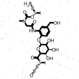 B/B=S(\I)OC(=O)N(C)CC(=O)Nc1cc(CO)ccc1O[C@@H]1OC(C(=O)/S(I)=B/B=O)[C@@H](O)[C@H](O)C1O